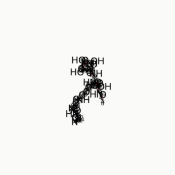 CCCCCC(=O)NCCCC[C@H](NC(=O)[C@H](CCCCNC(=O)CN1CCN(CC(=O)O)CCN(CC(=O)O)CCN(CC(=O)O)CC1)NC(=O)CCOCCOCCOCCNC(=O)COc1ccc2c(C(=O)NCC(=O)N3CCC[C@H]3C#N)ccnc2c1)C(=O)O